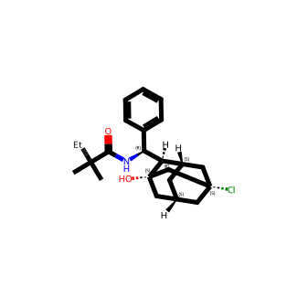 CCC(C)(C)C(=O)N[C@@H](c1ccccc1)[C@H]1[C@H]2C[C@@H]3C[C@](Cl)(C2)C[C@@]1(O)C3